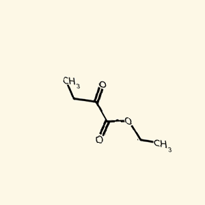 C[CH]OC(=O)C(=O)CC